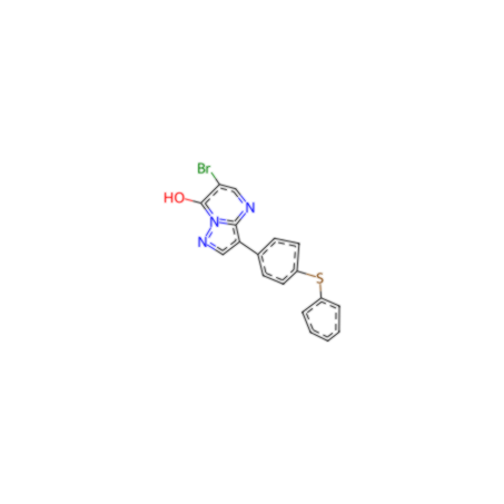 Oc1c(Br)cnc2c(-c3ccc(Sc4ccccc4)cc3)cnn12